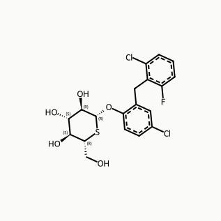 OC[C@H]1S[C@@H](Oc2ccc(Cl)cc2Cc2c(F)cccc2Cl)[C@H](O)[C@@H](O)[C@@H]1O